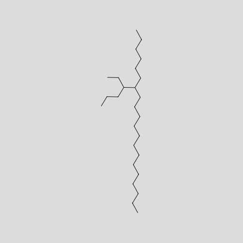 CCCCCCCCCCCCCC(CCCCCC)C(CC)CCC